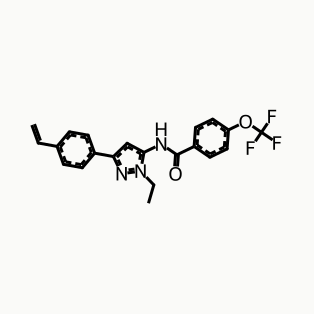 C=Cc1ccc(-c2cc(NC(=O)c3ccc(OC(F)(F)F)cc3)n(CC)n2)cc1